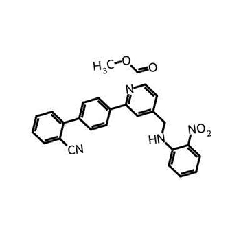 COC=O.N#Cc1ccccc1-c1ccc(-c2cc(CNc3ccccc3[N+](=O)[O-])ccn2)cc1